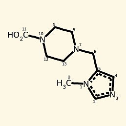 Cn1cncc1CN1CCN(C(=O)O)CC1